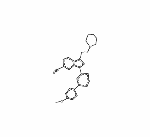 COc1ccc(-c2cncc(-c3cn(CCN4CCCCC4)c4ccc(C#N)cc34)c2)cc1